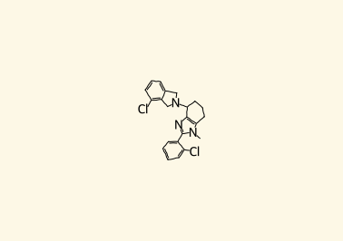 Cn1c(-c2ccccc2Cl)nc2c1CCCC2N1Cc2cccc(Cl)c2C1